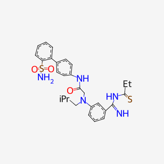 CCC(=S)NC(=N)c1cccc(N(CC(=O)Nc2ccc(-c3ccccc3S(N)(=O)=O)cc2)CC(C)C)c1